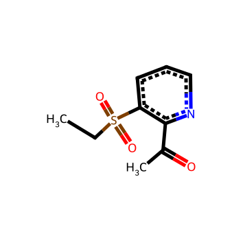 CCS(=O)(=O)c1cccnc1C(C)=O